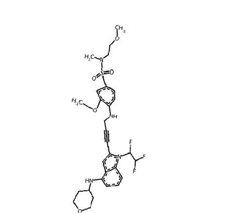 COCCN(C)S(=O)(=O)c1ccc(NCC#Cc2cc3c(NC4CCOCC4)cccc3n2C(F)C(F)F)c(OC)c1